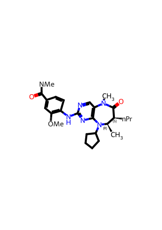 CCC[C@@H]1C(=O)N(C)c2cnc(Nc3ccc(C(=O)NC)cc3OC)nc2N(C2CCCC2)[C@@H]1C